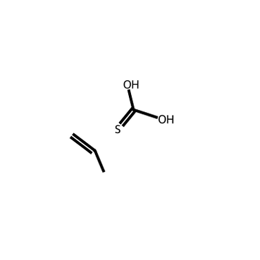 C=CC.OC(O)=S